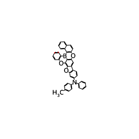 Cc1ccc(N(c2ccccc2)c2ccc3c(c2)oc2c4c5c(cc23)Oc2ccc3ccccc3c2B5c2c(ccc3ccccc23)O4)cc1